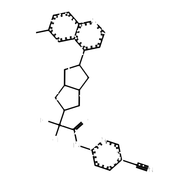 CC(O)(C(=O)Nc1ccc(C#N)cn1)C1CC2CC(c3ccnc4ccc(F)cc34)CC2C1